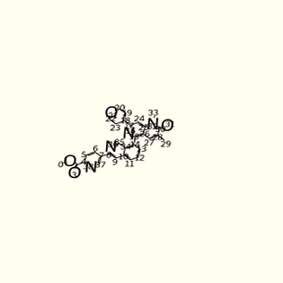 COC(=O)c1ccc(-c2cc3cccc(-c4nc(C5=CCOCC5)cc5c4cc(C)c(=O)n5C)c3cn2)cn1